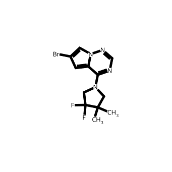 CC1(C)CN(c2ncnn3cc(Br)cc23)CC1(F)F